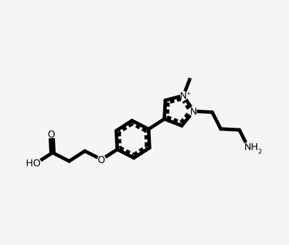 C[n+]1cc(-c2ccc(OCCC(=O)O)cc2)cn1CCCN